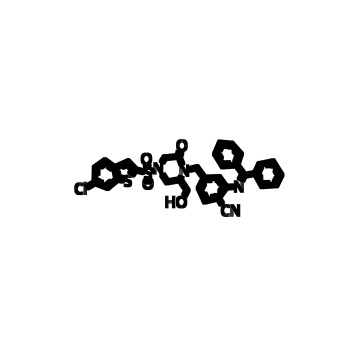 N#Cc1ccc(CN2C(=O)CN(S(=O)(=O)c3cc4ccc(Cl)cc4s3)CC2CO)cc1N=C(c1ccccc1)c1ccccc1